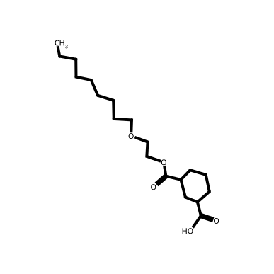 CCCCCCCCCOCCOC(=O)C1CCCC(C(=O)O)C1